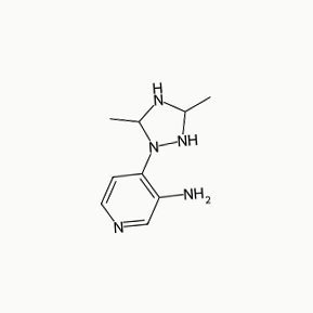 CC1NC(C)N(c2ccncc2N)N1